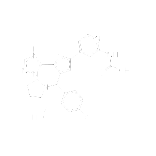 CC(=O)Nc1cc(-c2cc(C(c3ccc(Cl)cc3)N3CCC[C@H]3CO)c(-c3nnc[nH]3)s2)ccn1